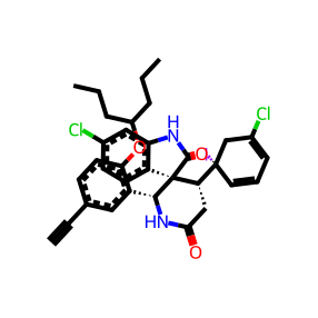 C#Cc1ccc(OC(CCC)CCC)c([C@H]2NC(=O)C[C@@H]([C@]3(I)C=CC=C(Cl)C3)[C@]23C(=O)Nc2cc(Cl)ccc23)c1